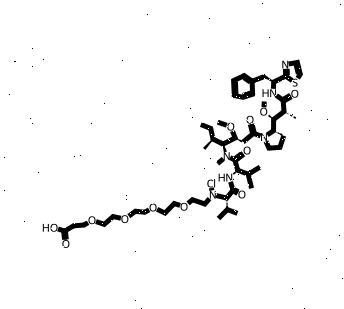 CC[C@H](C)[C@@H]([C@@H](CC(=O)N1CCC[C@H]1[C@H](OC)[C@@H](C)C(=O)N[C@@H](Cc1ccccc1)c1nccs1)OC)N(C)C(=O)[C@@H](NC(=O)[C@H](C(C)C)N(Cl)CCOCCOCCOCCOCCC(=O)O)C(C)C